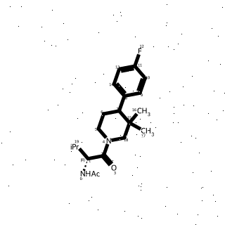 CC(=O)N[C@@H](C(=O)N1CCC(c2ccc(F)cc2)C(C)(C)C1)C(C)C